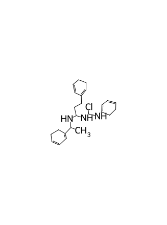 CC(NC(CCC1=CCCC=C1)NC(Cl)NC1=CC=CCC1)C1=CC=CCC1